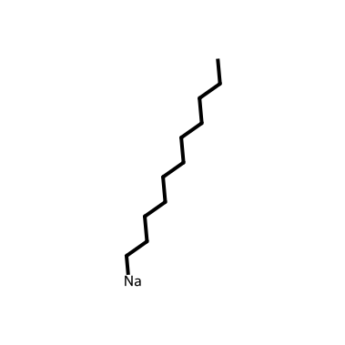 CCCCCCCCCC[CH2][Na]